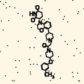 Cc1cccc(OC2CCN(C(=O)CN3CCC(c4cccc5c4OCCN5[C@H]4CCC(=O)NC4=O)CC3)CC2)c1